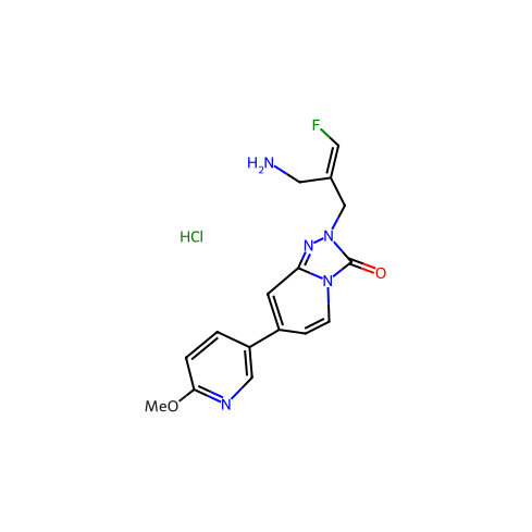 COc1ccc(-c2ccn3c(=O)n(C/C(=C/F)CN)nc3c2)cn1.Cl